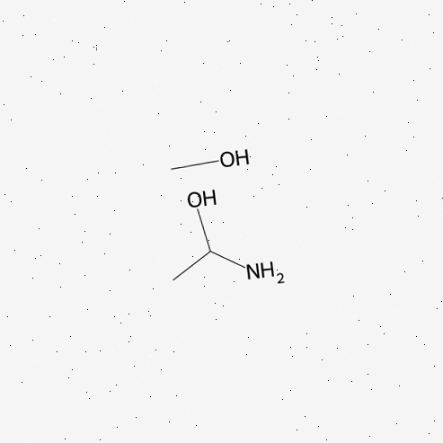 CC(N)O.CO